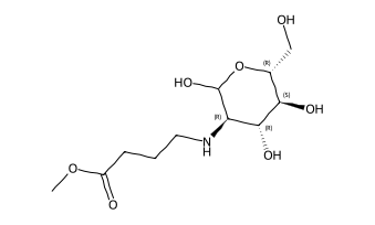 COC(=O)CCCN[C@H]1C(O)O[C@H](CO)[C@@H](O)[C@@H]1O